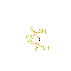 S=P(S)(S)CP(=S)(S)S